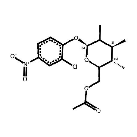 CC(=O)OCC1O[C@@H](Oc2ccc([N+](=O)[O-])cc2Cl)C(C)[C@@H](C)[C@@H]1C